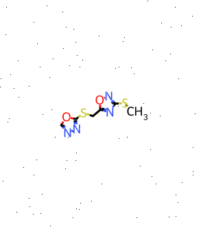 CSc1noc(CSc2nnco2)n1